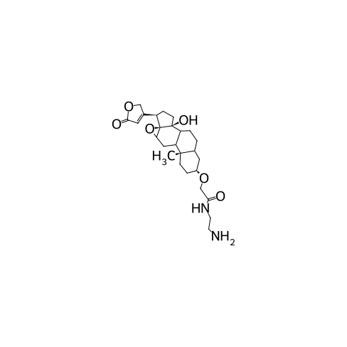 C[C@]12CC[C@H](OCC(=O)NCCN)CC1CCC1C2CC2O[C@]23[C@@H](C2=CC(=O)OC2)CC[C@]13O